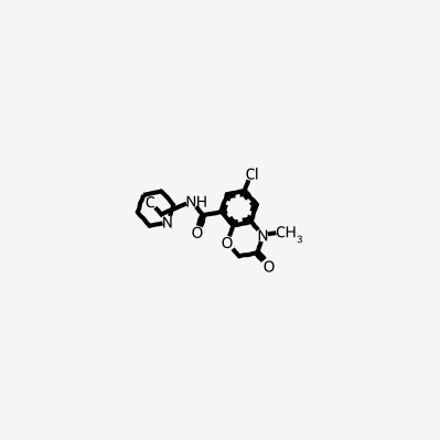 CN1C(=O)COc2c(C(=O)NC3CC4CCN3CC4)cc(Cl)cc21